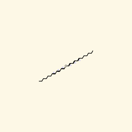 CCCCCC/C=C/C=C/C=C/O/C=C/C=C/C=C/CCCCCC